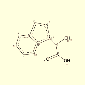 CC(C(=O)O)n1ncc2ccccc21